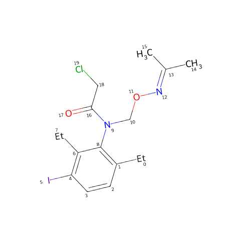 CCc1ccc(I)c(CC)c1N(CON=C(C)C)C(=O)CCl